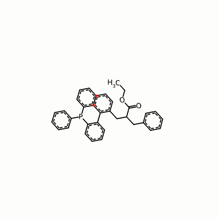 CCOC(=O)C(Cc1ccccc1)Cc1ccccc1-c1ccccc1P(c1ccccc1)c1ccccc1